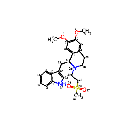 COc1cc2c(cc1OC)[C@H](Cc1c[nH]c3ccccc13)N(CCS(C)(=O)=O)CC2